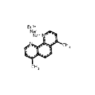 Cc1ccnc2c1ccc1c(C)ccnc12.[Eu+3].[Na+].[Na+]